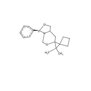 CC1(C)C2(CCC2)C12CC1CO[C@H](c3ccccc3)N1CO2